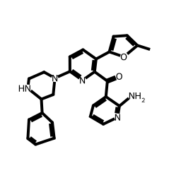 Cc1ccc(-c2ccc(N3CCNC(c4ccccc4)C3)nc2C(=O)c2cccnc2N)o1